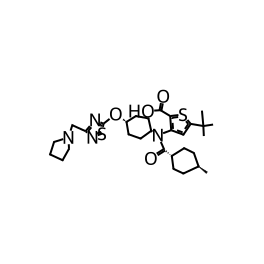 CC(C)(C)c1cc(N(C(=O)[C@H]2CC[C@H](C)CC2)[C@H]2CC[C@H](Oc3nc(CN4CCCC4)ns3)CC2)c(C(=O)O)s1